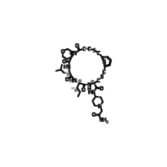 CC[C@H](C)[C@@H]1NC(=O)[C@H](CC(C)C)NC(=O)C2(CCOCC2)NC(=O)CCSCc2cccc(n2)CSC[C@@H](C(=O)NC2CCN(CC(N)=O)CC2)NC1=O